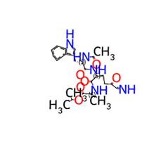 CC(=O)N[C@@H](Cc1c[nH]c2ccccc12)C(=O)N[C@@H](CCC(=O)C=N)C(=O)N[C@@H](C)C(=O)OC(C)C